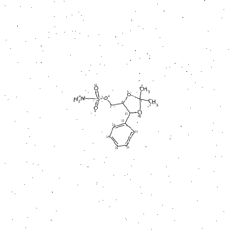 CC1(C)OC(COS(N)(=O)=O)C(c2ccccc2)O1